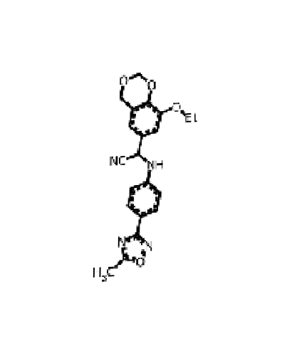 CCOc1cc(C(C#N)Nc2ccc(-c3noc(C)n3)cc2)cc2c1OCOC2